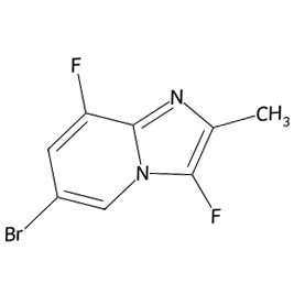 Cc1nc2c(F)cc(Br)cn2c1F